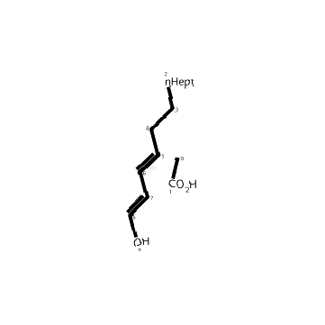 CC(=O)O.CCCCCCCCC/C=C/C=CO